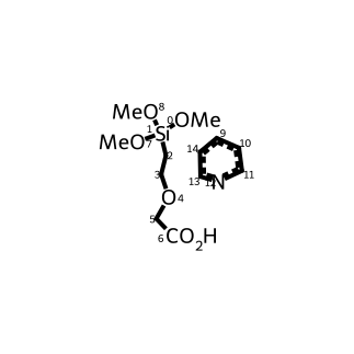 CO[Si](CCOCC(=O)O)(OC)OC.c1ccncc1